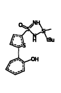 CC(C)(C)[Si](C)(C)NS(=N)(=O)c1ccc(-c2ccccc2O)s1